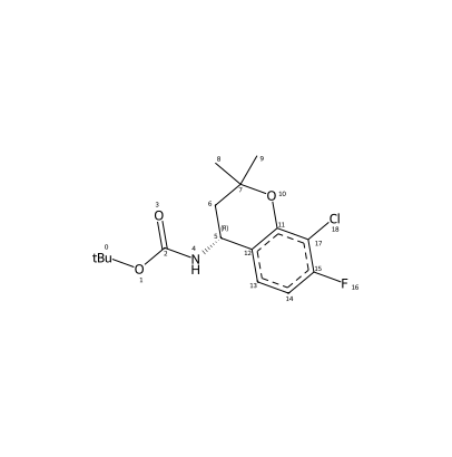 CC(C)(C)OC(=O)N[C@@H]1CC(C)(C)Oc2c1ccc(F)c2Cl